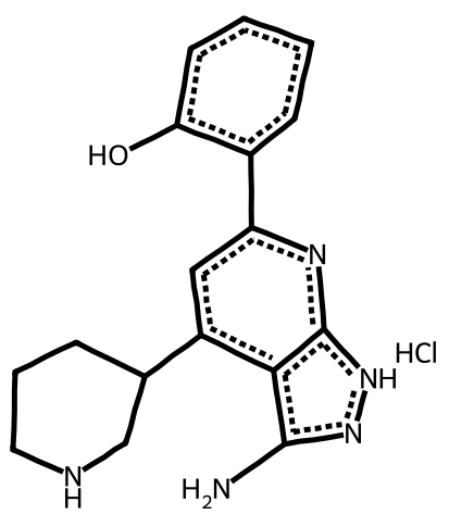 Cl.Nc1n[nH]c2nc(-c3ccccc3O)cc(C3CCCNC3)c12